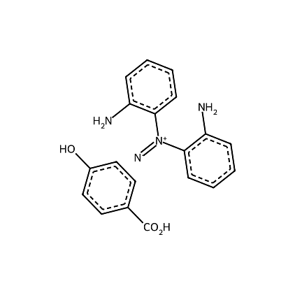 O=C(O)c1ccc(O)cc1.[N-]=[N+](c1ccccc1N)c1ccccc1N